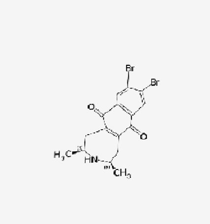 C[C@@H]1CC2=C(C[C@H](C)N1)C(=O)c1cc(Br)c(Br)cc1C2=O